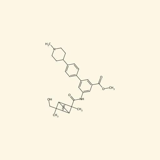 COC(=O)c1cc(NC(=O)C2(C)C3=C4C2C3C4(C)CO)cc(-c2ccc(C3CCN(C)CC3)cc2)c1